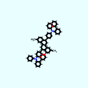 Cc1ccc2c(-c3ccc(N(c4ccccc4)c4ccccc4-c4ccccc4)cc3)cc3c4cc(C)cc5c4c(cc3c2c1)-c1ccc(N(c2ccccc2)c2ccccc2-c2ccccc2)cc1O5